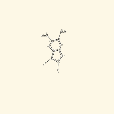 COc1cc2sc(F)c(F)c2cc1OC